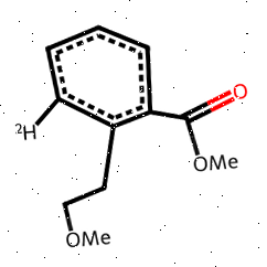 [2H]c1cccc(C(=O)OC)c1CCOC